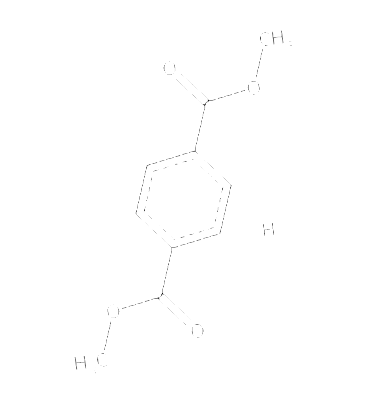 COC(=O)c1ccc(C(=O)OC)cc1.[H]